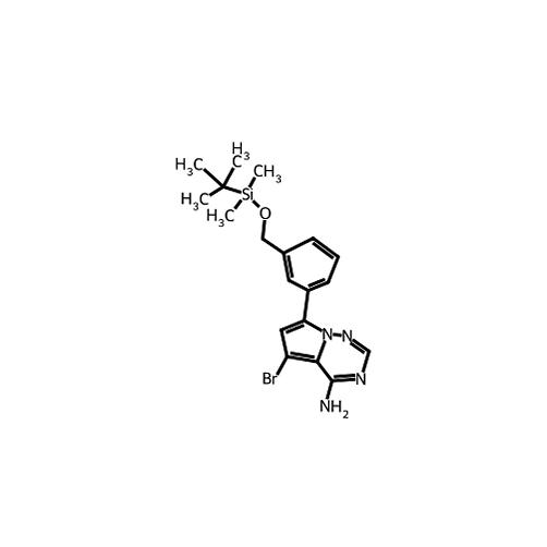 CC(C)(C)[Si](C)(C)OCc1cccc(-c2cc(Br)c3c(N)ncnn23)c1